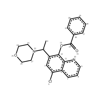 CC(c1cc(Cl)c2cccnc2c1OC(=O)c1ccccc1)N1CCOCC1